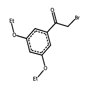 CCOc1cc(OCC)cc(C(=O)CBr)c1